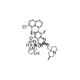 C#Cc1c(Cl)ccc2cccc(-c3nc4c5c(nc(OCC67CCCN6CC(=C)C7)nc5c3F)N3C[C@H]5CC[C@@H]([C@H]3[C@H](C)O4)N5C(=O)OC(C)(C)C)c12